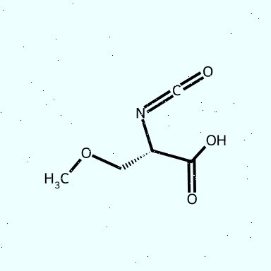 COC[C@H](N=C=O)C(=O)O